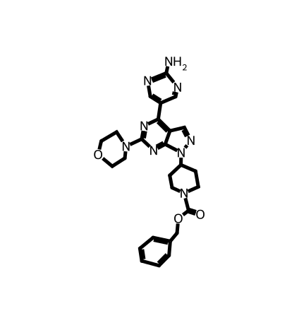 Nc1ncc(-c2nc(N3CCOCC3)nc3c2cnn3C2CCN(C(=O)OCc3ccccc3)CC2)cn1